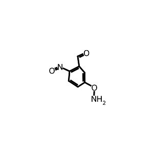 NOc1ccc(N=O)c(C=O)c1